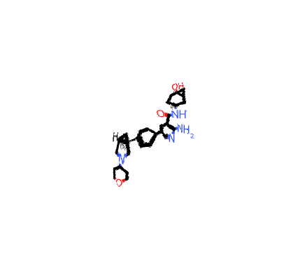 Nc1ncc(-c2ccc([C@]34C[C@H]3CN(C3CCOCC3)C4)cc2)cc1C(=O)N[C@@H]1CC[C@]2(O)CC2C1